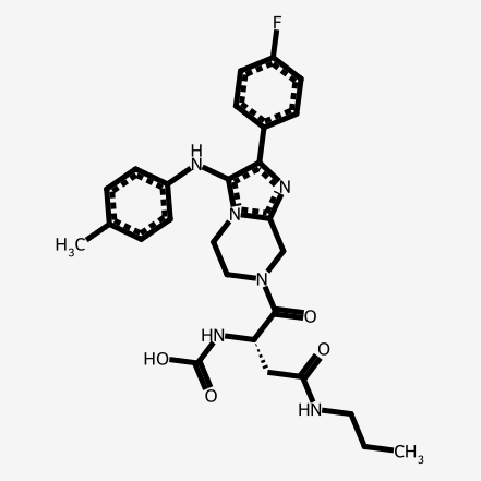 CCCNC(=O)C[C@H](NC(=O)O)C(=O)N1CCn2c(nc(-c3ccc(F)cc3)c2Nc2ccc(C)cc2)C1